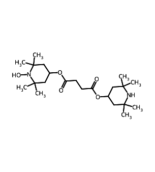 CC1(C)CC(OC(=O)CCC(=O)OC2CC(C)(C)N(O)C(C)(C)C2)CC(C)(C)N1